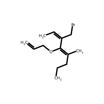 C=CCOC(=C(/C)CCC)/C(=C\C)CBr